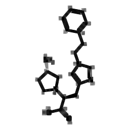 N[C@H]1CCN([C@@H](Cc2cn(CCc3ccccc3)cn2)C(=O)O)C1